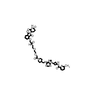 Cc1cccc(C(=O)NC2CC(n3cnc4c(NCC5CCN(C(=O)COCCOCCNC(=O)COc6cccc7c6C(=O)N([C@H]6CCC(=O)NC6=O)C7=O)CC5)ncnc43)C2)n1